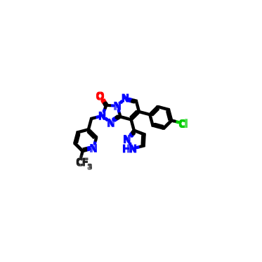 O=c1n(Cc2ccc(C(F)(F)F)nc2)nc2c(-c3cc[nH]n3)c(-c3ccc(Cl)cc3)cnn12